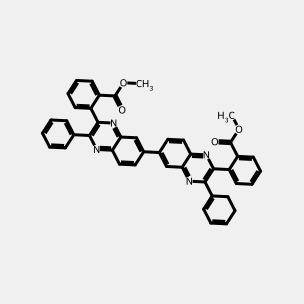 COC(=O)c1ccccc1-c1nc2ccc(-c3ccc4nc(-c5ccccc5)c(-c5ccccc5C(=O)OC)nc4c3)cc2nc1C1=CC=CCC1